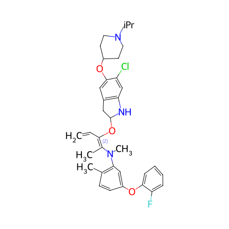 C=C/C(OC1Cc2cc(OC3CCN(C(C)C)CC3)c(Cl)cc2N1)=C(\C)N(C)c1cc(Oc2ccccc2F)ccc1C